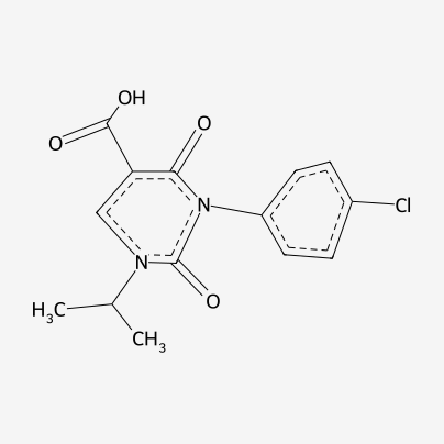 CC(C)n1cc(C(=O)O)c(=O)n(-c2ccc(Cl)cc2)c1=O